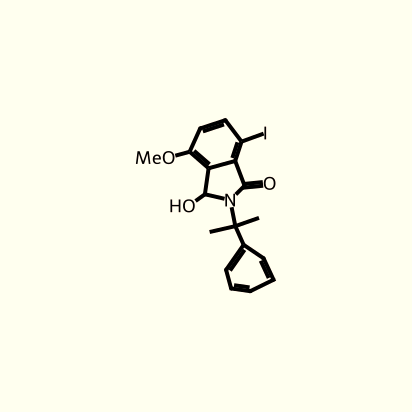 COc1ccc(I)c2c1C(O)N(C(C)(C)c1ccccc1)C2=O